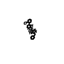 O=C(Nc1cc(-c2ccccc2Cl)ccn1)c1nnc(Cc2ccccc2)[nH]1